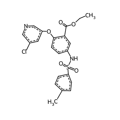 CCOC(=O)c1cc(NS(=O)(=O)c2ccc(C)cc2)ccc1Oc1cncc(Cl)c1